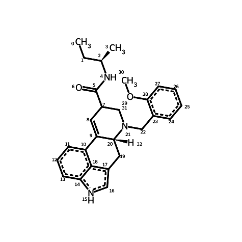 CC[C@@H](C)NC(=O)C1C=C2c3cccc4[nH]cc(c34)C[C@H]2N(Cc2ccccc2OC)C1